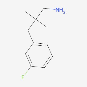 CC(C)(CN)Cc1cccc(F)c1